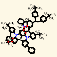 CC(C)(C)c1ccc(CC(c2ccc(C(C)(C)C)cc2)c2ccc3c(c2)C2(C)CCCCC2(C)N3c2cc3c4c(c2)N(c2ccc(C(C)(C)C)cc2-c2ccccc2)c2cc(C(C)(C)C)ccc2B4c2ccc(-c4ccccc4)cc2N3c2ccc(C(C)(C)C)cc2-c2ccccc2)cc1